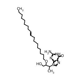 CCCCCCCCC=CCCCCCCCCOC(CO)C(C)n1cnc2c(=O)[nH]c(N)nc21